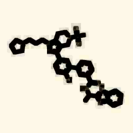 CC(NC(=O)c1cccc(-c2cc(-c3nn(CCCN4CCCC4)c4c3CN(S(C)(=O)=O)CC4)ccc2Cl)c1)c1nc2ccccc2[nH]1